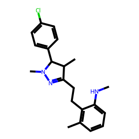 CNc1cccc(C)c1CCC1=NN(C)C(c2ccc(Cl)cc2)C1C